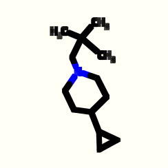 CC(C)(C)CN1CCC(C2CC2)CC1